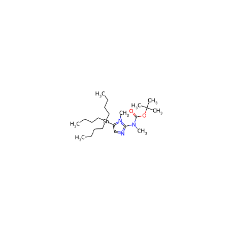 CCC[CH2][Sn]([CH2]CCC)([CH2]CCC)[c]1cnc(N(C)C(=O)OC(C)(C)C)n1C